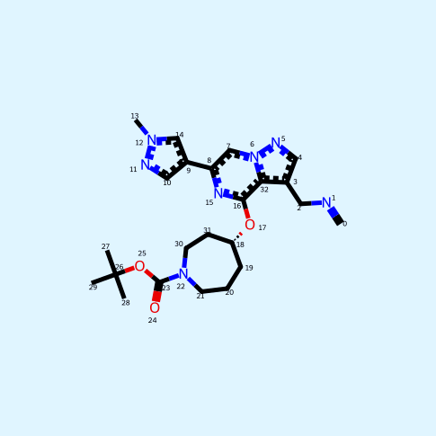 C=NCc1cnn2cc(-c3cnn(C)c3)nc(O[C@@H]3CCCN(C(=O)OC(C)(C)C)CC3)c12